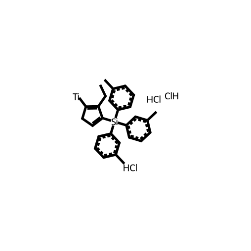 CCC1=[C]([Ti])CC=C1[Si](c1cccc(C)c1)(c1cccc(C)c1)c1cccc(C)c1.Cl.Cl.Cl